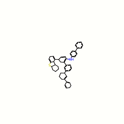 C1=CC(C2=CC(c3cccc(C4=C(Nc5ccc(-c6ccccc6)cc5)C=CC(C5=CCC=C6SC7CCCCC7C65)C4)c3)CCC2)=CCC1